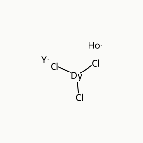 [Cl][Dy]([Cl])[Cl].[Ho].[Y]